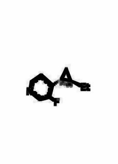 CC[C@@H]1C[C@H]1c1ccncc1F